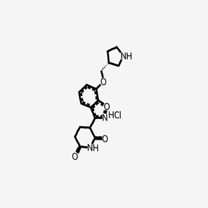 Cl.O=C1CCC(c2noc3c(OC[C@@H]4CCNC4)cccc23)C(=O)N1